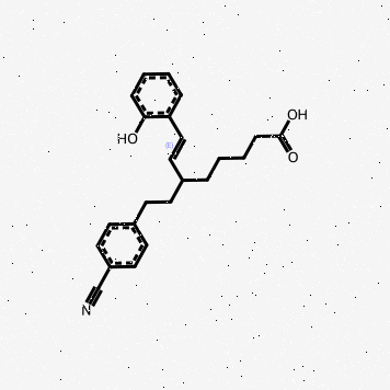 N#Cc1ccc(CCC(/C=C/c2ccccc2O)CCCCC(=O)O)cc1